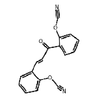 N#COc1ccccc1/C=C/C(=O)c1ccccc1OC#N